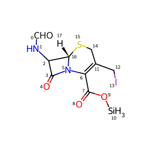 O=CNC1C(=O)N2C(C(=O)O[SiH3])=C(CI)CS[C@@H]12